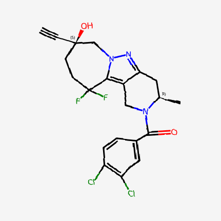 C#C[C@@]1(O)CCC(F)(F)c2c3c(nn2C1)C[C@@H](C)N(C(=O)c1ccc(Cl)c(Cl)c1)C3